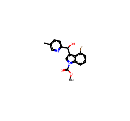 Cc1ccc(C(O)c2cn(C(=O)OC(C)(C)C)c3cccc(Br)c23)nc1